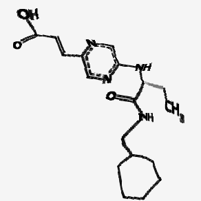 CC[C@@H](Nc1cnc(/C=C/C(=O)O)cn1)C(=O)NCC1CCCCC1